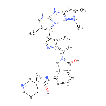 Cc1cnc(Nc2cc(C)n(C)n2)nc1-c1c[nH]c2c(N3Cc4c(NC(=O)C5(C)CCCNC5)cccc4C3=O)cccc12